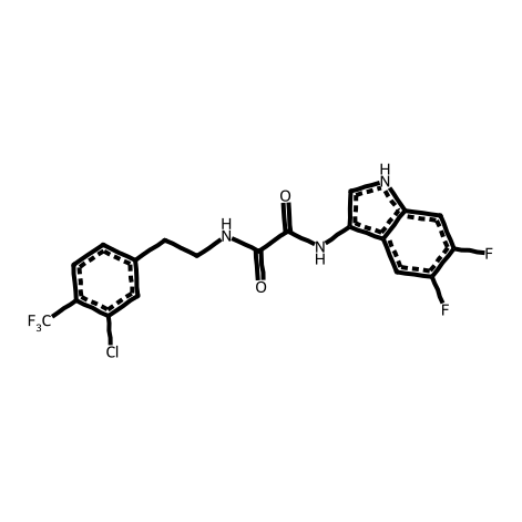 O=C(NCCc1ccc(C(F)(F)F)c(Cl)c1)C(=O)Nc1c[nH]c2cc(F)c(F)cc12